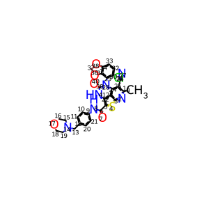 Cc1nc2sc(C(=O)Nc3ccc(CN4CCOCC4)cc3)c3c2c(c1C#N)N(c1c(Cl)ccc2c1OCO2)C(=O)N3